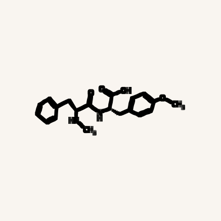 CN[C@@H](Cc1ccccc1)C(=O)N[C@@H](Cc1ccc(OC)cc1)C(=O)O